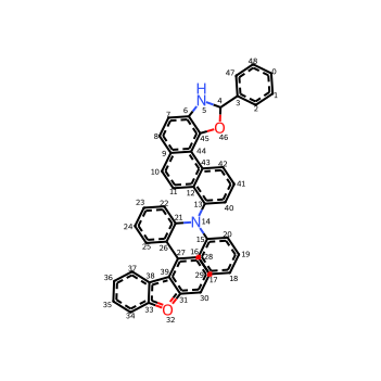 c1ccc(C2Nc3ccc4ccc5c(N(c6ccccc6)c6ccccc6-c6cccc7oc8ccccc8c67)cccc5c4c3O2)cc1